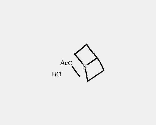 C1CN2CCC12.COC(C)=O.Cl